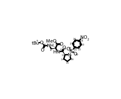 COC(=O)[C@H](CNC(=O)OC(C)(C)C)NC(=O)[C@@H]1CCCN1S(=O)(=O)c1ccc([N+](=O)[O-])cc1